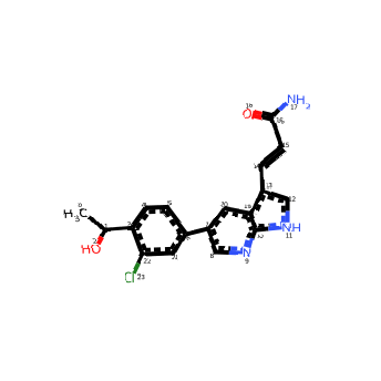 CC(O)c1ccc(-c2cnc3[nH]cc(C=CC(N)=O)c3c2)cc1Cl